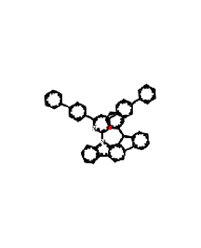 c1ccc(-c2ccc(-c3cc(-c4ccc(-c5ccccc5)cc4)nc(-n4c5ccccc5c5ccc6c(c54)C(c4ccccc4)c4ccccc4-6)c3)cc2)cc1